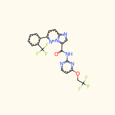 O=C(Nc1nccc(OCC(F)(F)F)n1)c1cnc2ccc(-c3ccccc3C(F)(F)F)nn12